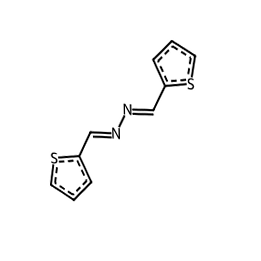 C(=NN=Cc1cccs1)c1cccs1